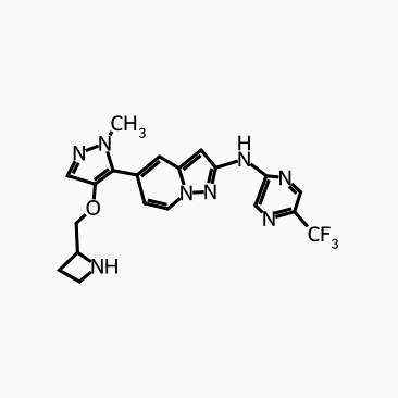 Cn1ncc(OCC2CCN2)c1-c1ccn2nc(Nc3cnc(C(F)(F)F)cn3)cc2c1